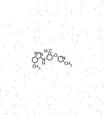 Cc1ccc2ncnc(Nc3ccc(Oc4ccc(C)nc4)c(C)c3)c2c1